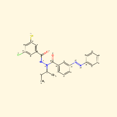 CCC(C)N(NC(=O)c1cc(S)cc(Cl)c1)C(=O)c1cccc(N=Nc2ccccc2)c1